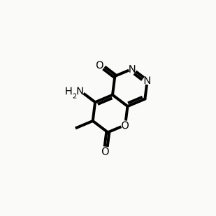 CC1C(=O)OC2=CN=NC(=O)C2=C1N